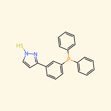 Sn1ccc(-c2cccc(P(c3ccccc3)c3ccccc3)c2)n1